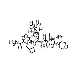 CC(C)[C@H](NC(=O)N[C@H](C(=O)N1C[C@H]2[C@@H]([C@H]1C(=O)NC(CC1CCC1)C(=O)C(N)=O)C2(C)C)C(C)(C)C)C(=O)N1CCOCC1